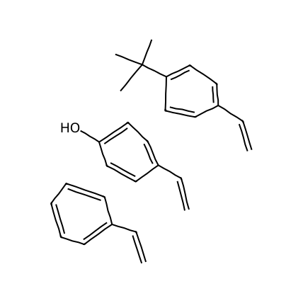 C=Cc1ccc(C(C)(C)C)cc1.C=Cc1ccc(O)cc1.C=Cc1ccccc1